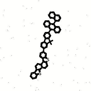 CC1(C)c2cc(-c3ccc4c(c3)sc3ccc5c(ccc6c7ccccc7sc65)c34)ccc2-c2ccc(-c3c4ccccc4c(-c4cccc5ccccc45)c4ccccc34)cc21